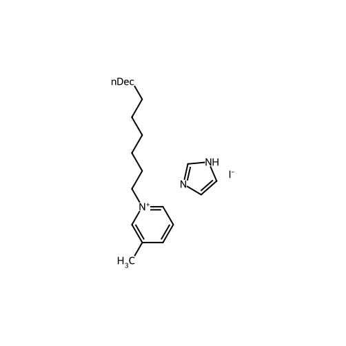 CCCCCCCCCCCCCCCC[n+]1cccc(C)c1.[I-].c1c[nH]cn1